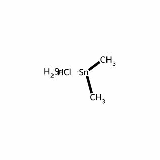 Cl.[CH3][Sn][CH3].[SnH2]